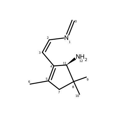 C=N/C=C\C1=C(C)CC(C)(C)[C@@H]1N